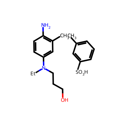 CCN(CCCO)c1ccc(N)c(C)c1.Cc1cccc(S(=O)(=O)O)c1